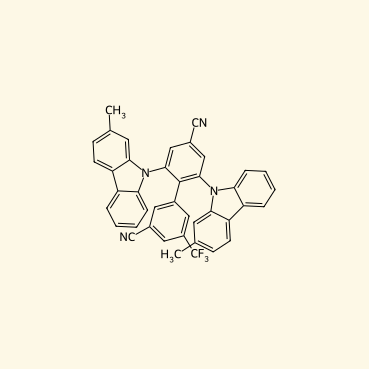 Cc1ccc2c3ccccc3n(-c3cc(C#N)cc(-n4c5ccccc5c5ccc(C)cc54)c3-c3cc(C#N)cc(C(F)(F)F)c3)c2c1